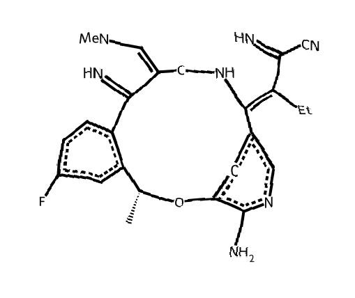 CC/C(C(=N)C#N)=C1/NC/C(=C/NC)C(=N)c2ccc(F)cc2[C@@H](C)Oc2cc1cnc2N